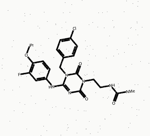 CNC(=O)NCCn1c(=O)nc(Nc2ccc(OC(C)C)c(F)c2)n(Cc2ccc(Cl)cc2)c1=O